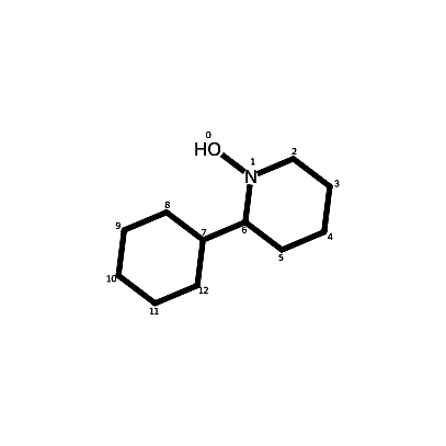 ON1CCCCC1C1CCCCC1